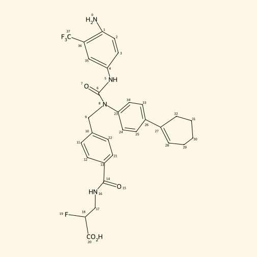 Nc1ccc(NC(=O)N(Cc2ccc(C(=O)NCC(F)C(=O)O)cc2)c2ccc(C3=CCCCC3)cc2)cc1C(F)(F)F